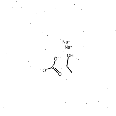 CCO.O=S([O-])[O-].[Na+].[Na+]